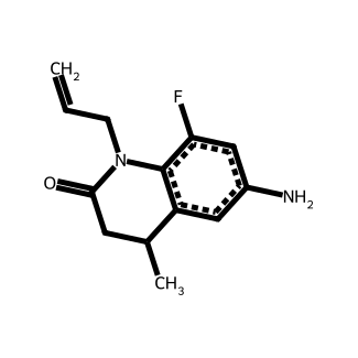 C=CCN1C(=O)CC(C)c2cc(N)cc(F)c21